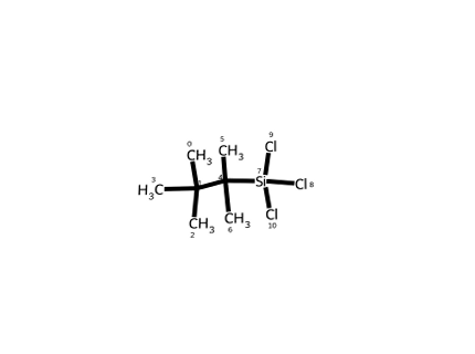 CC(C)(C)C(C)(C)[Si](Cl)(Cl)Cl